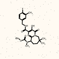 Cc1cc(CNC(=O)c2nc3n(c(=O)c2O)CC(C)(C)CCC3N(C)C(=O)OC(C)(C)C)ccc1F